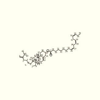 C=C(CC[C@@H](C)[C@H]1CC[C@H]2[C@@H]3CC=C4C[C@@H](OC(=O)CCCCCCC/C=C\C/C=C\C/C=C\CC)CC[C@]4(C)[C@H]3CC[C@]12C)C(C)C